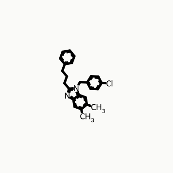 Cc1cc2nc(CCCc3ccccc3)n(Cc3ccc(Cl)cc3)c2cc1C